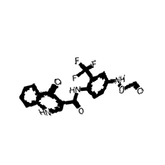 O=CONc1ccc(NC(=O)c2c[nH]c3ccccc3c2=O)c(C(F)(F)F)c1